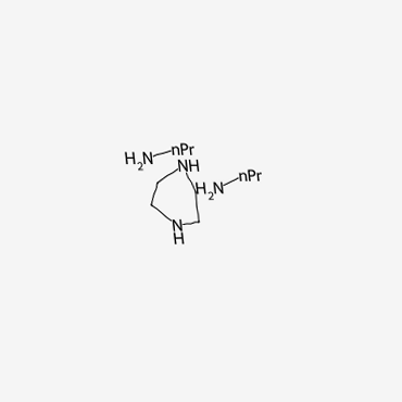 C1CNCCN1.CCCN.CCCN